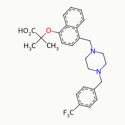 CC(C)(Oc1ccc(CN2CCN(Cc3ccc(C(F)(F)F)cc3)CC2)c2ccccc12)C(=O)O